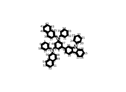 c1ccc(N(c2cc(-c3ccc4c5ccccc5n(-c5ccccc5)c4c3)cc(N(c3ccccc3)c3ccc4ccccc4c3)c2)c2ccc3ccccc3c2)cc1